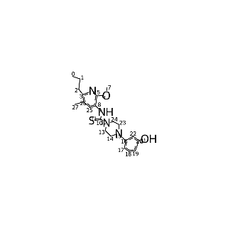 CCCc1nc(OC)c(NC(=S)N2CCN(c3cccc(O)c3)CC2)cc1C